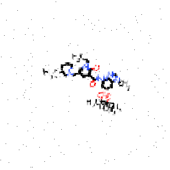 C[C@H]1CCCN(Cc2cc(C(=O)Nc3cc(B4OC(C)(C)C(C)(C)O4)cc4c3ncn4C)c(=O)n(CC(F)(F)F)c2)C1